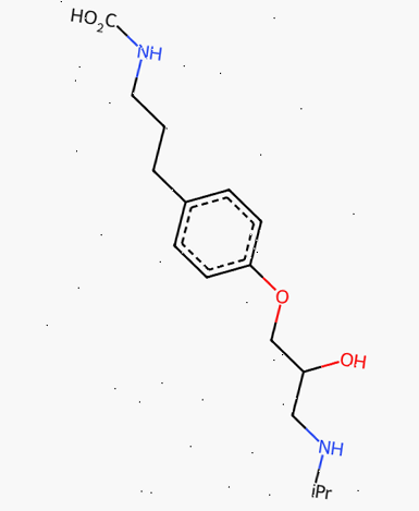 CC(C)NCC(O)COc1ccc(CCCNC(=O)O)cc1